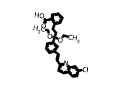 CCOC(CCc1ccccc1C(=O)O)(OCC)c1cccc(C=Cc2ccc3ccc(Cl)cc3n2)c1